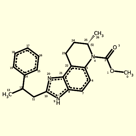 COC(=O)N1c2ccc3[nH]c(CC(C)c4ccccc4)nc3c2CC[C@@H]1C